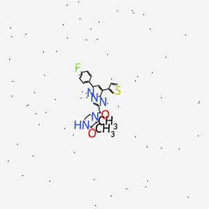 CC1(C)C(=O)NCCN1C(=O)c1cn2nc(-c3ccc(F)cc3)cc(-c3ccsc3)c2n1